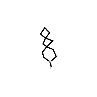 [2H]N1CCC2(CC1)CC1(CCC1)C2